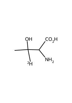 [2H]C(C)(O)C(N)C(=O)O